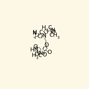 Cc1ccc(-c2c(C)noc2C)cc1N(CCCCOc1ccc(C(=O)N(C)C2CCC(=O)NC2=O)c(C=O)c1)c1ccc(C2(C#N)CC2)cc1